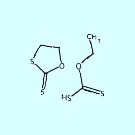 CCOC(=S)S.S=C1OCCS1